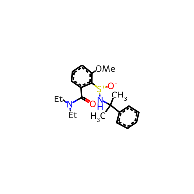 CCN(CC)C(=O)c1cccc(OC)c1[S+]([O-])NC(C)(C)c1ccccc1